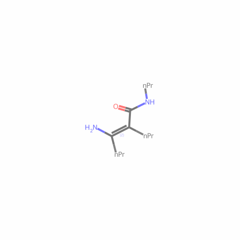 CCCNC(=O)/C(CCC)=C(\N)CCC